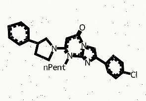 CCCCCn1c(N2CCC(c3ccccc3)C2)cc(=O)n2cc(-c3ccc(Cl)cc3)nc12